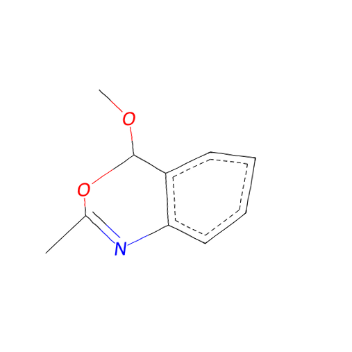 COC1OC(C)=Nc2ccccc21